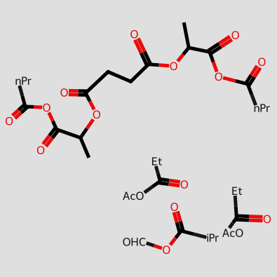 CC(C)C(=O)OC=O.CCC(=O)OC(C)=O.CCC(=O)OC(C)=O.CCCC(=O)OC(=O)C(C)OC(=O)CCC(=O)OC(C)C(=O)OC(=O)CCC